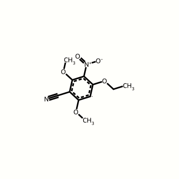 CCOc1[c]c(OC)c(C#N)c(OC)c1[N+](=O)[O-]